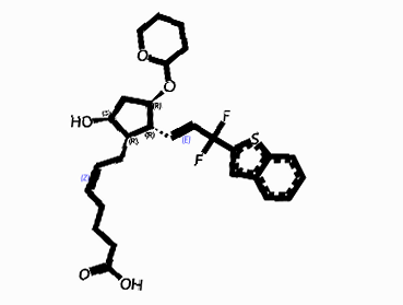 O=C(O)CCC/C=C\C[C@@H]1[C@@H](/C=C/C(F)(F)c2cc3ccccc3s2)[C@H](OC2CCCCO2)C[C@@H]1O